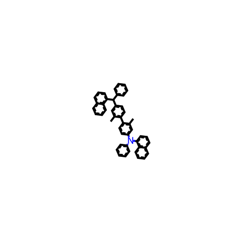 Cc1cc(C(c2ccccc2)c2cccc3ccccc23)ccc1-c1ccc(N(c2ccccc2)c2cccc3ccccc23)cc1C